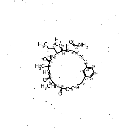 CC[C@H](C)[C@@H]1NC(=O)[C@H](C)NC(=O)[C@H](C)NC(=O)CCSCc2cccc(c2)CSC[C@@H](C(N)=O)NC1=O